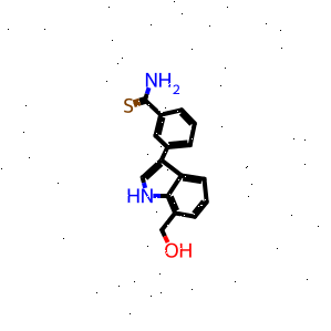 NC(=S)c1cccc(-c2c[nH]c3c(CO)cccc23)c1